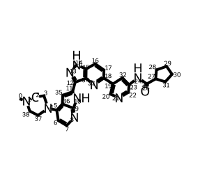 CN1CCN(c2ccnc3[nH]c(-c4n[nH]c5ccc(-c6cncc(NC(=O)C7CCCC7)c6)nc45)cc23)CC1